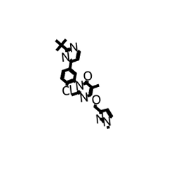 Cc1c(OCc2ccn(C)n2)nc(C)n(-c2cc(-c3ccnc(C(C)(C)C)n3)ccc2Cl)c1=O